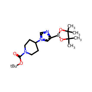 CC(C)(C)OC(=O)N1CCC(n2cnc(B3OC(C)(C)C(C)(C)O3)c2)CC1